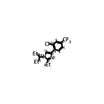 CCc1nc(-c2ccc(C(F)(F)F)cc2Cl)cn1C(CC)CC